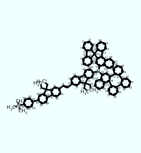 CCC1(CC)c2cc(/C=C/c3ccc4c(c3)C(CC)(CC)c3cc(N(c5cc6c(c7ccccc57)-c5ccccc5-c5ccccc5-c5ccccc5-6)c5cc6c(c7ccccc57)-c5ccccc5C65c6ccccc6-c6ccccc65)ccc3-4)ccc2-c2ccc(-c3ccc([Si](C)(C)C)cc3)cc21